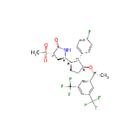 C[C@@H](O[C@H]1CC[C@@H]([C@H]2C[C@H](S(C)(=O)=O)C(=O)N2)[C@@H]1c1ccc(F)cc1)c1cc(C(F)(F)F)cc(C(F)(F)F)c1